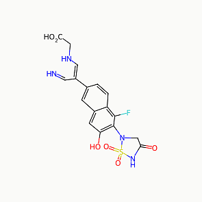 N=C/C(=C\NCC(=O)O)c1ccc2c(F)c(N3CC(=O)NS3(=O)=O)c(O)cc2c1